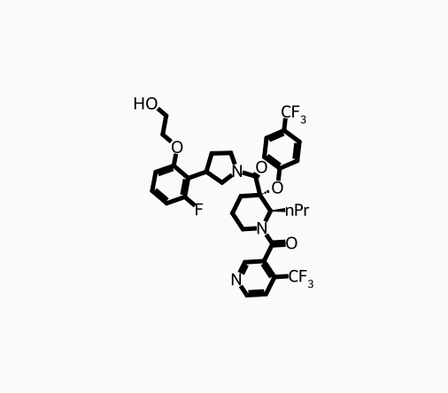 CCC[C@H]1N(C(=O)c2cnccc2C(F)(F)F)CCC[C@@]1(Oc1ccc(C(F)(F)F)cc1)C(=O)N1CCC(c2c(F)cccc2OCCO)C1